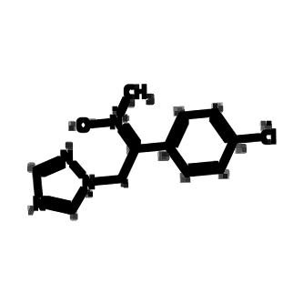 C/[N+]([O-])=C(/Cn1cncn1)c1ccc(Cl)cc1